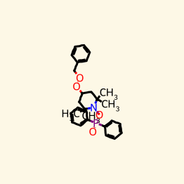 CC1(C)CC(OOCc2ccccc2)CC(C)(C)N1OP(=O)(c1ccccc1)c1ccccc1